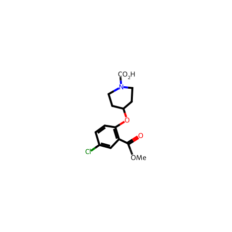 COC(=O)c1cc(Cl)ccc1OC1CCN(C(=O)O)CC1